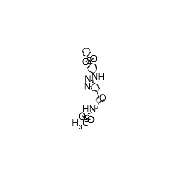 CS(=O)(=O)CCNCc1coc(-c2ccc3c(Nc4ccc(S(=O)(=O)c5ccccc5)cc4)ncnc3c2)c1